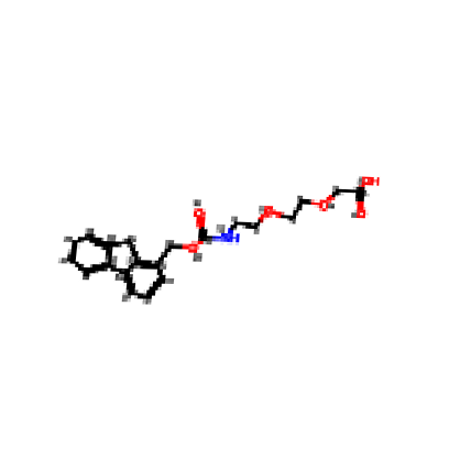 O=C(O)COCCOCCNC(=O)OCc1cccc2c1Cc1ccccc1-2